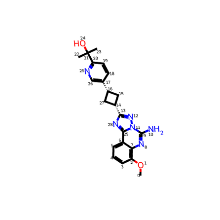 COc1cccc2c1nc(N)n1nc([C@H]3C[C@@H](c4ccc(C(C)(C)O)nc4)C3)nc21